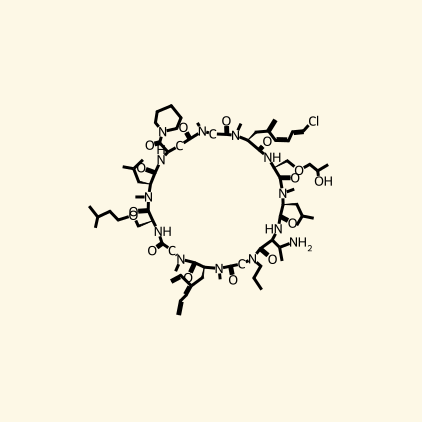 C=C/C=C(\C=C)C[C@H]1C(=O)N(C)CC(=O)N[C@@H](COCCC(C)C)C(=O)N(C)[C@@H](CC(C)C)C(=O)NC(C(=O)N2CCCCC2)CC(=O)N(C)CC(=O)N(C)[C@@H](CC(=C)/C=C\C=C\Cl)C(=O)N[C@@H](COCC(C)O)C(=O)N(C)[C@@H](CC(C)C)C(=O)NC(C(C)N)C(=O)N(CCC)CC(=O)N1C